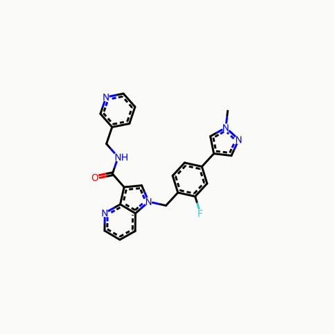 Cn1cc(-c2ccc(Cn3cc(C(=O)NCc4cccnc4)c4ncccc43)c(F)c2)cn1